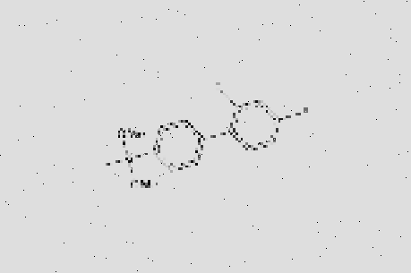 CO[Si](C)(OC)c1ccc(-c2ccc(F)cc2F)cc1